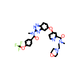 CN(CCN1CCOCC1)C(=O)c1cc(Oc2ccc3nnc(N(C)C(=O)c4ccc(OC(F)(F)F)cc4)nc3c2)ccn1